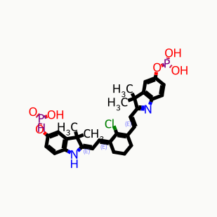 CC1(C)C(/C=C/C2=C(Cl)C(=C/C=C3/Nc4ccc(O[PH](=O)O)cc4C3(C)C)/CCC2)=Nc2ccc(OP(O)O)cc21